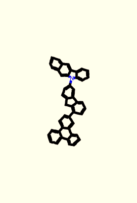 c1cc(-c2ccc3c4ccccc4c4ccccc4c3c2)c2c(c1)-c1cc(-n3c4ccccc4c4cc5ccccc5cc43)ccc1C2